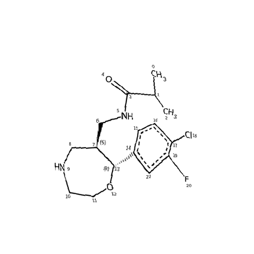 CC(C)C(=O)NC[C@@H]1CNCCO[C@H]1c1ccc(Cl)c(F)c1